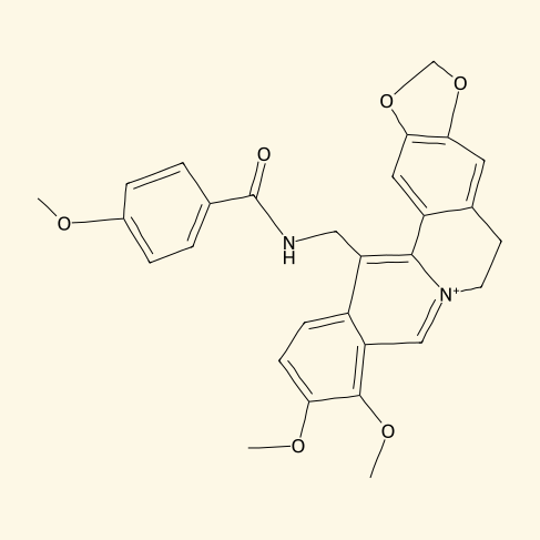 COc1ccc(C(=O)NCc2c3[n+](cc4c(OC)c(OC)ccc24)CCc2cc4c(cc2-3)OCO4)cc1